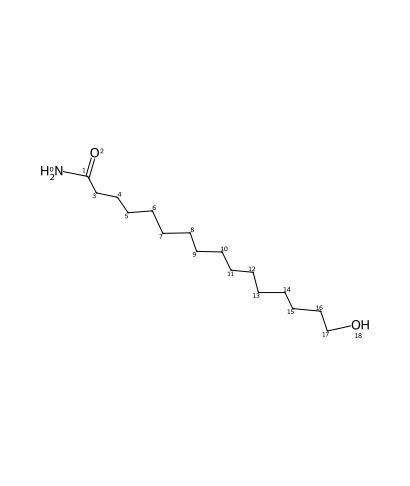 NC(=O)CCCCCCCCCCCCCCCO